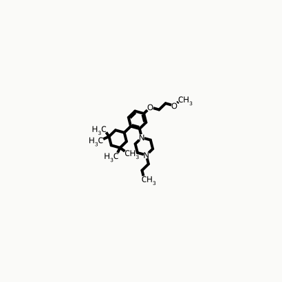 CCCN1CCN(c2cc(OCCOC)ccc2C2CC(C)(C)CC(C)(C)C2)CC1